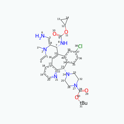 C=CN(C)/C(=C\N)[C@H](NC(=O)OC1CC1)C1=Cc2cccnc2[C@@H](N2CCN(C(=O)OC(C)(C)C)CC2)c2ccc(Cl)cc21